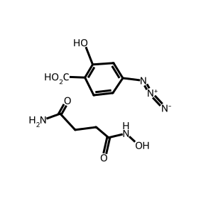 NC(=O)CCC(=O)NO.[N-]=[N+]=Nc1ccc(C(=O)O)c(O)c1